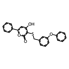 O=c1oc(-c2ccccc2)cc(O)c1SCc1cccc(Oc2ccccc2)c1